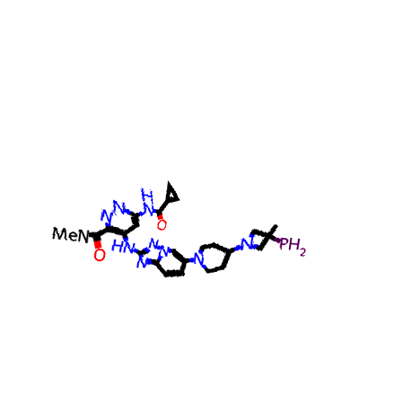 CNC(=O)c1nnc(NC(=O)C2CC2)cc1Nc1nc2ccc(N3CCC(N4CC(C)(P)C4)CC3)cn2n1